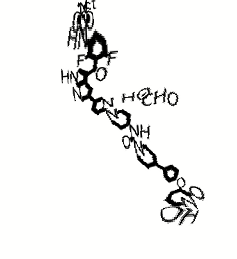 CCN(C)S(=O)(=O)Nc1ccc(F)c(C(=O)c2c[nH]c3ncc(-c4ccc(N5CCC(NC(=O)N6CCC(c7ccc(OC8CCC(=O)NC8=O)cc7)CC6)CC5)nc4)cc23)c1F.O=CO